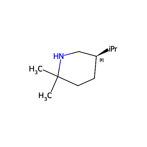 CC(C)[C@H]1CCC(C)(C)NC1